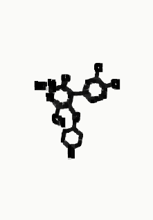 Cl.N#Cc1n[nH]c(=O)c(-c2ccc(Cl)c(Cl)c2)c1OC1CCNCC1